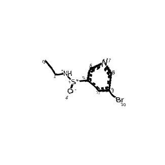 CCN[S+]([O-])c1cncc(Br)c1